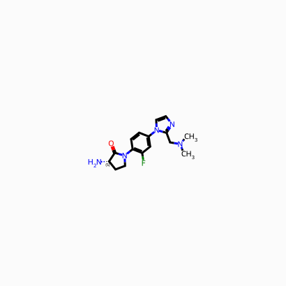 CN(C)Cc1nccn1-c1ccc(N2CC[C@H](N)C2=O)c(F)c1